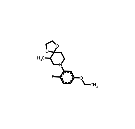 CCOc1ccc(F)c(N2CCC3(OCCO3)C(C)C2)c1